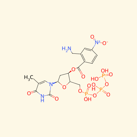 Cc1cn([C@H]2C[C@@H](OC(=O)c3ccc([N+](=O)[O-])cc3CN)C(COP(=O)(O)OP(=O)(O)OP(=O)(O)O)O2)c(=O)[nH]c1=O